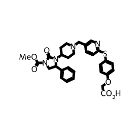 COC(=O)N1CC(c2ccccc2)N(C2CCN(Cc3ccc(Sc4ccc(OCC(=O)O)cc4)nc3)CC2)C1=O